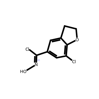 O/N=C(\Cl)c1cc(Cl)c2c(c1)CCO2